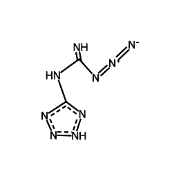 [N-]=[N+]=NC(=N)Nc1nn[nH]n1